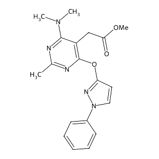 COC(=O)Cc1c(Oc2ccn(-c3ccccc3)n2)nc(C)nc1N(C)C